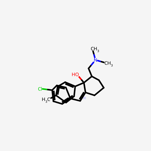 Cc1ccc(C2(O)/C(=C\c3ccc(Cl)cc3)CCCC2CN(C)C)cc1